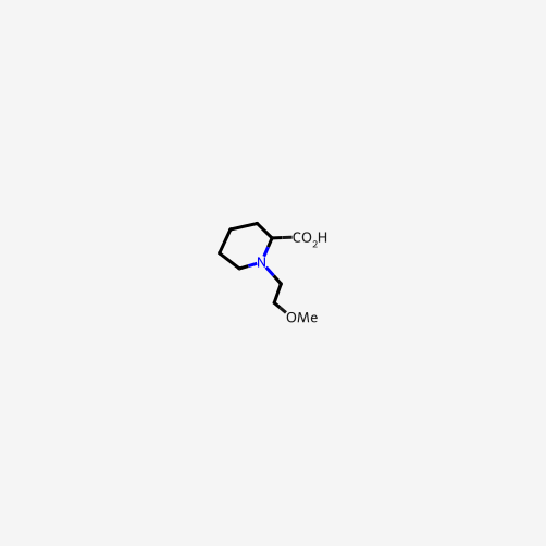 COCCN1CCCCC1C(=O)O